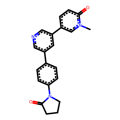 Cn1cc(-c2cncc(-c3ccc(N4CCCC4=O)cc3)c2)ccc1=O